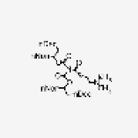 CCCCCCCCCCCC(CCCCCCCCC)OC(=O)N(C(=O)OC(CCCCCCCCC)CCCCCCCCCCC)C(=O)SCCN(C)C